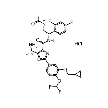 CC(=O)NCC(NC(=O)c1nc(-c2ccc(OC(F)F)c(OCC3CC3)c2)oc1[C@H](C)N)c1ccc(F)cc1F.Cl